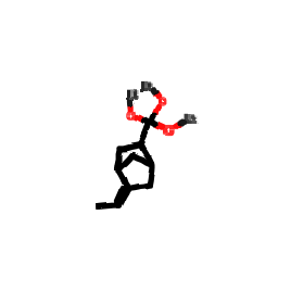 CC=C1CC2CC1CC2C(OCC)(OCC)OCC